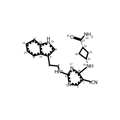 N#Cc1cnc(NCCc2c[nH]c3ccccc23)nc1N[C@H]1C[C@@H](C(N)=O)C1